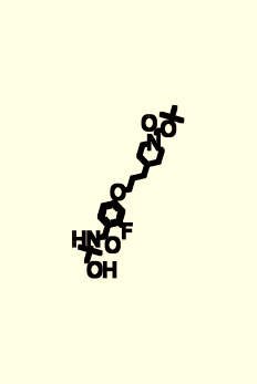 CC(C)(CO)NC(=O)c1ccc(OCCCC2CCN(C(=O)OC(C)(C)C)CC2)cc1F